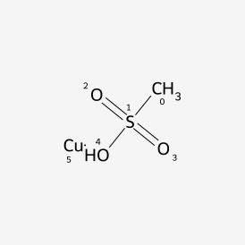 CS(=O)(=O)O.[Cu]